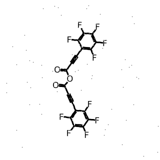 O=C(C#Cc1c(F)c(F)c(F)c(F)c1F)OC(=O)C#Cc1c(F)c(F)c(F)c(F)c1F